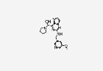 COc1cncc(CNc2nc(C(O)N3CCCC3)c3sccc3n2)c1